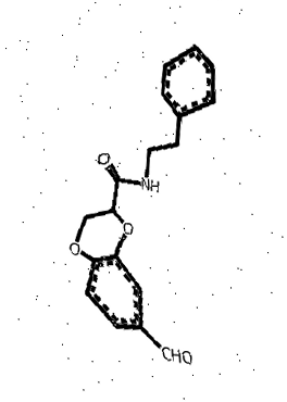 O=Cc1ccc2c(c1)OC(C(=O)NCCc1ccccc1)CO2